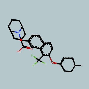 CC1CCC(Oc2ccc3ccc(CN4C5CCCC4CC(C(=O)O)C5)cc3c2C(F)(F)F)CC1